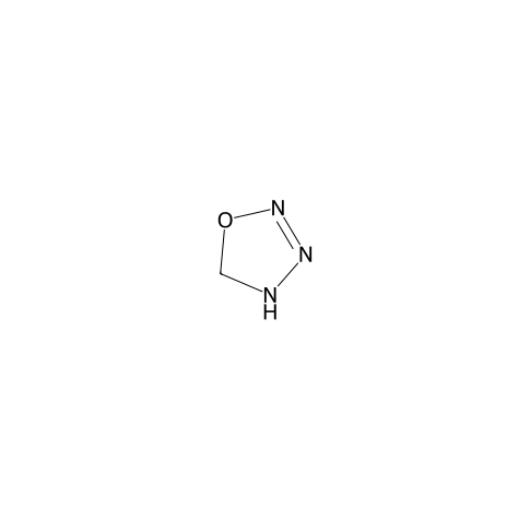 C1NN=NO1